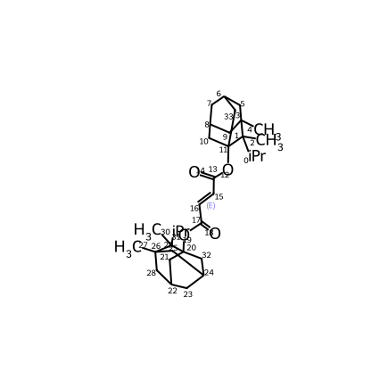 CC(C)C1(C)C2(C)CC3CC(C2)CC1(OC(=O)/C=C/C(=O)OC12CC4CC(CC(C)(C4)C1(C)C(C)C)C2)C3